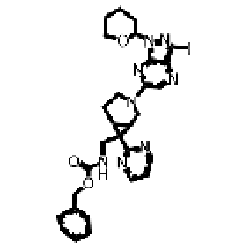 O=C(NCC1(c2ncccn2)C2CCN(c3cnc4c(I)nn(C5CCCCO5)c4n3)CC21)OCc1ccccc1